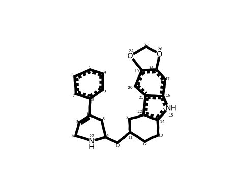 C1=C(c2ccccc2)CC(CC2CCc3[nH]c4cc5c(cc4c3C2)OCO5)NC1